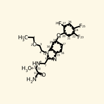 CCOCCn1c(CN[C@@H](C)C(N)=O)nc2ccc(Oc3cc(F)c(F)cc3F)cc21